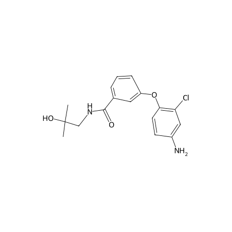 CC(C)(O)CNC(=O)c1cccc(Oc2ccc(N)cc2Cl)c1